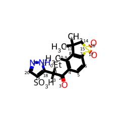 CCC(C(=O)c1ccc2c(c1C)C(C)(C)CS2(=O)=O)(c1ccn[nH]1)S(=O)(=O)O